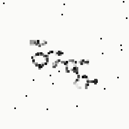 O=C(O)C[C@H](NC(=O)c1cc(O)n(-c2cccc(F)c2)n1)c1cccnc1